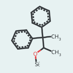 CC(O[Si])C(C)(c1ccccc1)c1ccccc1